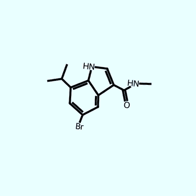 CNC(=O)c1c[nH]c2c(C(C)C)cc(Br)cc12